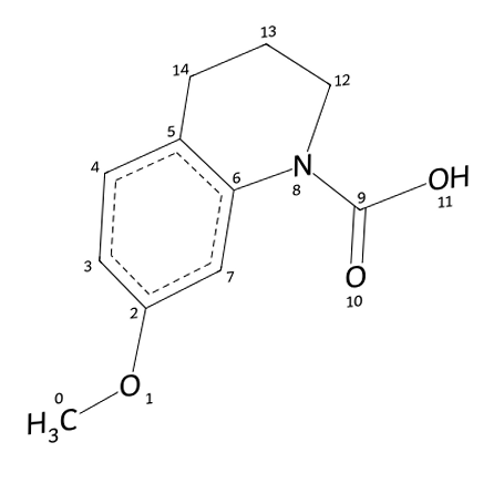 COc1ccc2c(c1)N(C(=O)O)CCC2